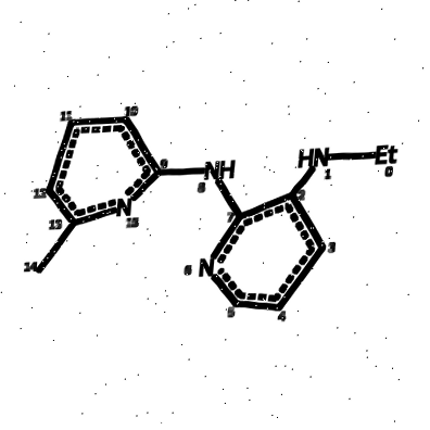 CCNc1cccnc1Nc1cccc(C)n1